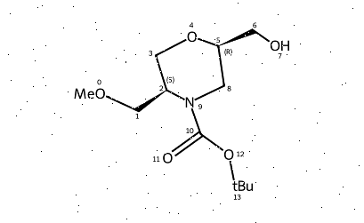 COC[C@H]1CO[C@@H](CO)CN1C(=O)OC(C)(C)C